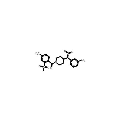 CS(=O)(=O)c1cc(C(F)(F)F)ccc1C(=O)N1CCC(C(c2cccc(C(F)(F)F)c2)=S(=O)=O)CC1